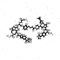 CC(=O)N1CC[C@H]2CC[C@@H](C(=O)N[C@@H](CCC(N)=O)COc3cccc(CCCC(=O)N4CCC([C@@H](C(=O)N5C[C@H](O)C[C@H]5C(=O)N[C@@H](C)c5ccc(-c6scnc6C)cc5)n5cc(C6CC6)nn5)CC4)c3Cl)N2C(=O)[C@@H](NC(=O)c2cc3cc(C(=O)P(=O)(O)O)ccc3[nH]2)C1